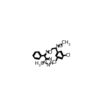 CO/N=C(/CON=C(c1ccccc1)c1nnnn1C)c1cc(Cl)cc(Cl)c1